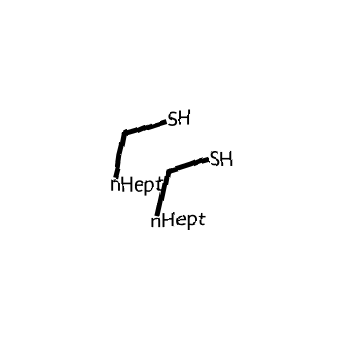 CCCCCCCCS.CCCCCCCCS